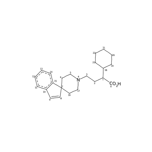 O=C(O)C(CCN1CCC2(C=Cc3ccccc32)CC1)C1CCCCC1